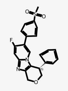 CS(=O)(=O)c1ccc(-c2cn3c4c(nc3cc2F)COC[C@H]4c2ccccc2)cc1